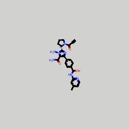 C#CC(=O)N1CCC[C@H]1c1nc(-c2ccc(C(O)Nc3cc(C)ccn3)cc2)c(C(N)=O)n1N